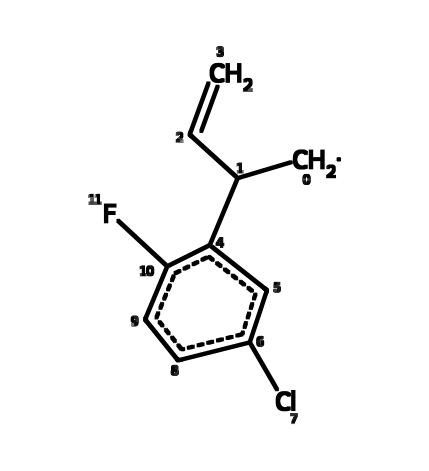 [CH2]C(C=C)c1cc(Cl)ccc1F